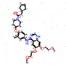 COCCOc1cc2ncnc(Nc3ccc(OC4CCN(C(=O)CC5CCCC5)CC4)c(C)c3)c2cc1OCCOC